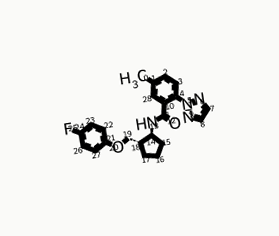 Cc1ccc(-n2nccn2)c(C(=O)N[C@H]2CCC[C@@H]2COc2ccc(F)cc2)c1